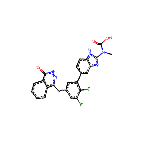 CN(C(=O)O)c1nc2cc(-c3cc(Cc4n[nH]c(=O)c5ccccc45)cc(F)c3F)ccc2[nH]1